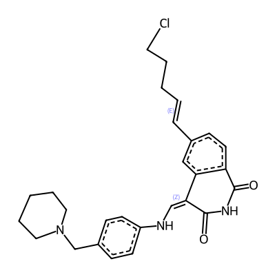 O=C1NC(=O)c2ccc(/C=C/CCCCl)cc2/C1=C/Nc1ccc(CN2CCCCC2)cc1